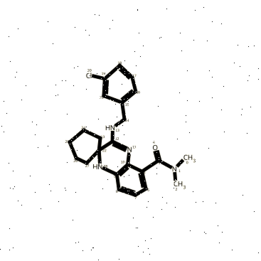 CN(C)C(=O)c1cccc2c1N=C(NCc1cccc(Cl)c1)C1(CCCCC1)N2